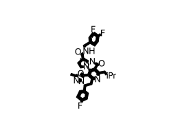 Cc1nnc(-c2c(CCc3ccc(F)cc3)nc(CC(C)C)c(C(N)=O)c2N2CCC(C(=O)NCc3ccc(F)c(F)c3)C2)o1